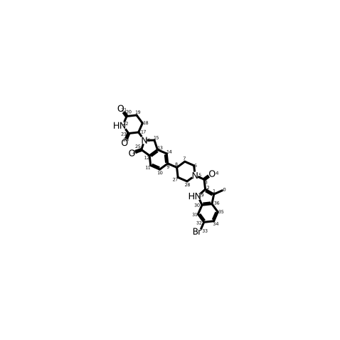 Cc1c(C(=O)N2CCC(c3ccc4c(c3)CN(C3CCC(=O)NC3=O)C4=O)CC2)[nH]c2cc(Br)ccc12